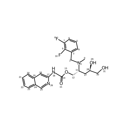 CN(Cc1cccc(F)c1F)[C@@H](COC(=O)Nc1cc2ccccc2cn1)C[C@@H](O)CO